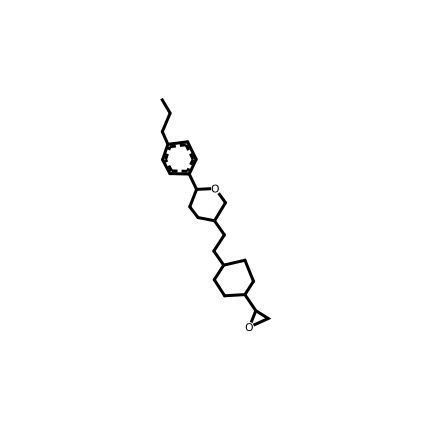 CCCc1ccc(C2CCC(CCC3CCC(C4CO4)CC3)CO2)cc1